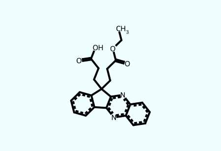 CCOC(=O)CCC1(CCC(=O)O)c2ccccc2-c2nc3ccccc3nc21